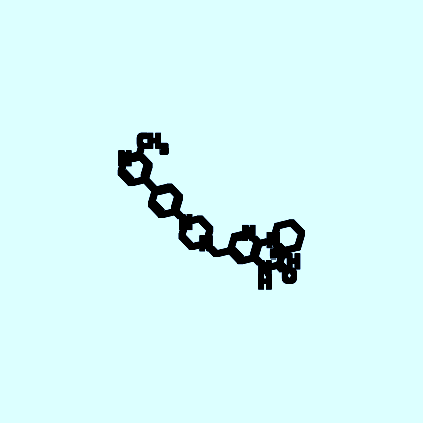 Cc1cc(-c2ccc(N3CCN(Cc4cnc5c(c4)NC(=O)[C@@H]4CCCCN54)CC3)cc2)ccn1